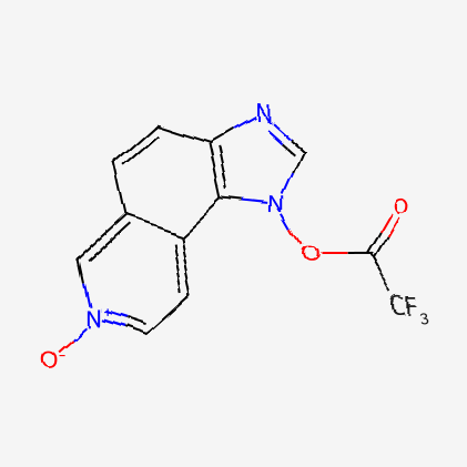 O=C(On1cnc2ccc3c[n+]([O-])ccc3c21)C(F)(F)F